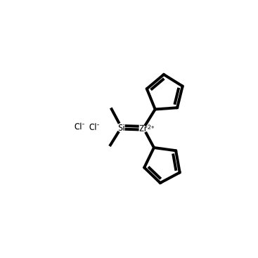 C[Si](C)=[Zr+2]([CH]1C=CC=C1)[CH]1C=CC=C1.[Cl-].[Cl-]